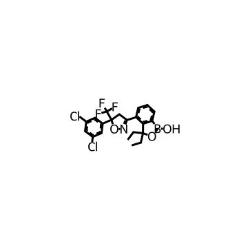 CCC1(CC)OB(O)c2cccc(C3=NOC(c4cc(Cl)cc(Cl)c4)(C(F)(F)F)C3)c21